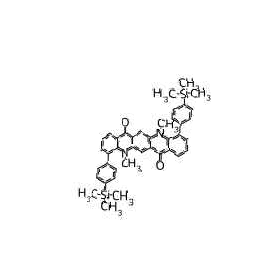 Cn1c2cc3c(=O)c4cccc(-c5ccc([Si](C)(C)C)cc5)c4n(C)c3cc2c(=O)c2cccc(-c3ccc([Si](C)(C)C)cc3)c21